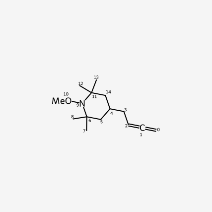 C=C=CCC1CC(C)(C)N(OC)C(C)(C)C1